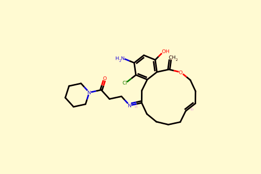 C=C1OCC/C=C/CCCC/C(=N/CCC(=O)N2CCCCC2)Cc2c(Cl)c(N)cc(O)c21